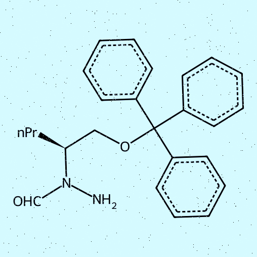 CCC[C@@H](COC(c1ccccc1)(c1ccccc1)c1ccccc1)N(N)C=O